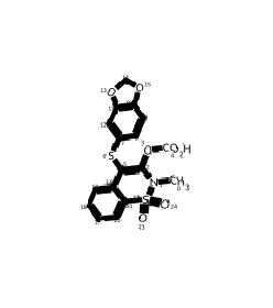 CN1C(OC(=O)O)=C(Sc2ccc3c(c2)OCO3)c2ccccc2S1(=O)=O